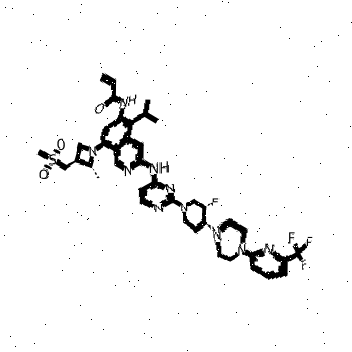 C=CC(=O)Nc1cc(N2C[C@H](CS(C)(=O)=O)[C@H]2C)c2cnc(Nc3ccnc(N4CC[C@@H](N5CCN(c6cccc(C(F)(F)F)n6)CC5)[C@@H](F)C4)n3)cc2c1C(C)C